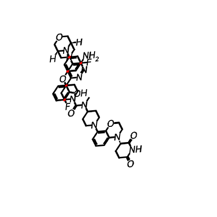 CN(C(=O)N1CCC(Oc2cc(F)cc(N3[C@@H]4COC[C@H]3CN(c3cc(-c5cccc(F)c5O)nnc3N)C4)c2)CC1)C1CCN(c2cccc3c2OCCN3[C@H]2CCC(=O)NC2=O)CC1